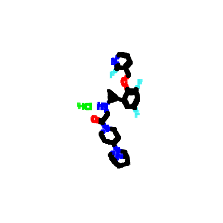 Cl.O=C(CN[C@@H]1C[C@H]1c1cc(F)cc(F)c1OCc1cccnc1F)N1CCC(N2CC3CCC(C2)N3)CC1